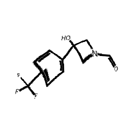 O=CN1CC(O)(c2ccc(C(F)(F)F)cc2)C1